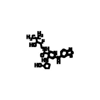 CC(C)C(O)[C@H](F)CNC(=O)c1cnc(Nc2ccc3ncsc3c2)cc1N[C@@H]1CCC[C@H]1O